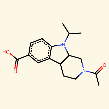 CC(=O)N1CCC2c3cc(C(=O)O)ccc3N(C(C)C)C2C1